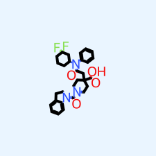 O=C(N1CCC(CC(=O)N(c2ccccc2)[C@H]2CCCC(F)(F)C2)(C(=O)O)CC1)N1CCc2ccccc21